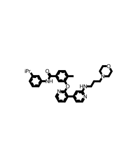 Cc1ccc(C(=O)Nc2cccc(C(C)C)c2)cc1Oc1ncccc1-c1ccnc(NCCCN2CCOCC2)c1